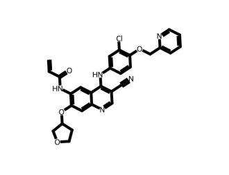 C=CC(=O)Nc1cc2c(Nc3ccc(OCc4ccccn4)c(Cl)c3)c(C#N)cnc2cc1OC1CCOC1